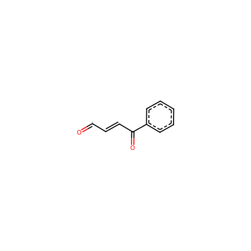 O=[C]/C=C/C(=O)c1ccccc1